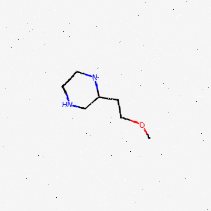 COCCC1CNCC[N]1